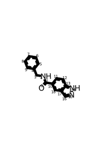 O=C(NCc1ccccc1)c1ccc2[nH]ncc2c1